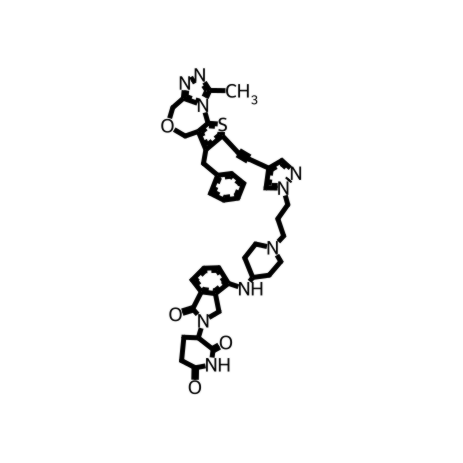 Cc1nnc2n1-c1sc(C#Cc3cnn(CCCN4CCC(Nc5cccc6c5CN(C5CCC(=O)NC5=O)C6=O)CC4)c3)c(Cc3ccccc3)c1COC2